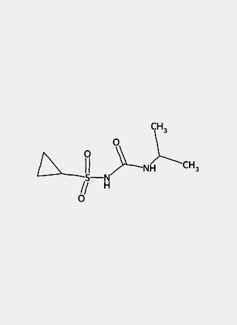 CC(C)NC(=O)NS(=O)(=O)C1CC1